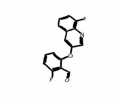 O=Cc1c(F)cccc1Oc1cnc2c(F)cccc2c1